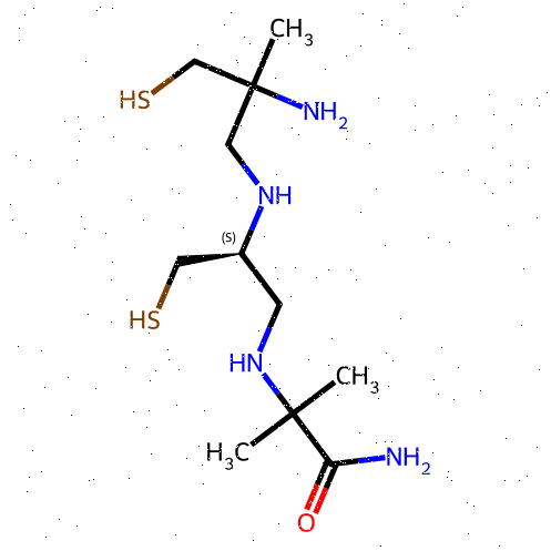 CC(N)(CS)CN[C@H](CS)CNC(C)(C)C(N)=O